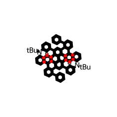 CC(C)(C)N1c2ccccc2B2c3c(cccc31)-c1cc(-c3c(-c4ccccc4)cccc3-c3ccccc3)c3cc4c5c(cc(-c6c(-c7ccccc7)cccc6-c6ccccc6)c6cc2c1c3c65)-c1cccc2c1B4c1ccccc1N2C(C)(C)C